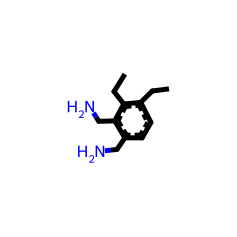 CCc1ccc(CN)c(CN)c1CC